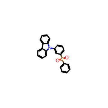 O=S(=O)(c1ccccc1)c1cccc(-n2c3ccccc3c3ccccc32)c1